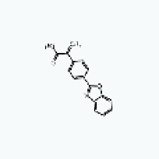 C=C(C(=O)O)c1ccc(-c2nc3ccccc3o2)cc1